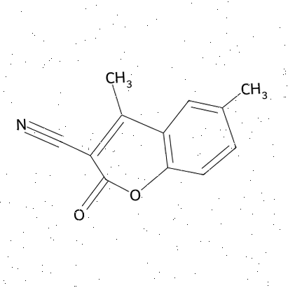 Cc1ccc2oc(=O)c(C#N)c(C)c2c1